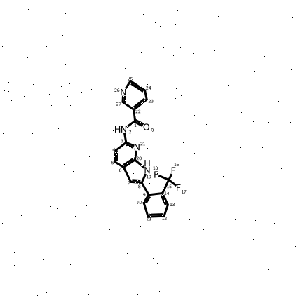 O=C(Nc1ccc2cc(-c3ccccc3C(F)(F)F)[nH]c2n1)c1cccnc1